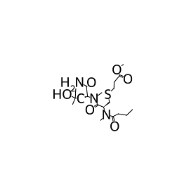 CCCC(=O)N(C)[C@H](CSCCC(=O)OC)C(=O)N(C)[C@@H](CC(C)(C)O)C(N)=O